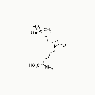 CC(C)(C)C(C)(C)CCCC1CC(=O)N1CCCCC(N)C(=O)O